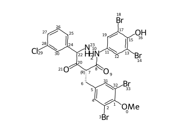 COc1c(Br)cc(C[C@@H](C(=O)Nc2cc(Br)c(O)c(Br)c2)C(=O)C(N)c2cccc(Cl)c2)cc1Br